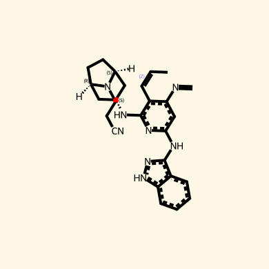 C=Nc1cc(Nc2n[nH]c3ccccc23)nc(N[C@@H]2C[C@H]3CC[C@@H](C2)N3CCC#N)c1/C=C\C